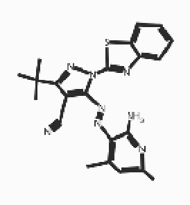 Cc1cc(C)c(/N=N/c2c(C#N)c(C(C)(C)C)nn2-c2nc3ccccc3s2)c(N)n1